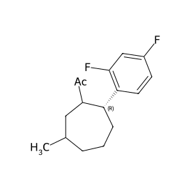 CC(=O)C1CC(C)CCC[C@H]1c1ccc(F)cc1F